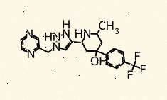 C[C@H]1CC(O)(c2ccc(C(F)(F)F)cc2)C[C@@H](C2=CN(Cc3cnccn3)NN2)N1